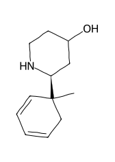 CC1([C@@H]2CC(O)CCN2)C=CC=CC1